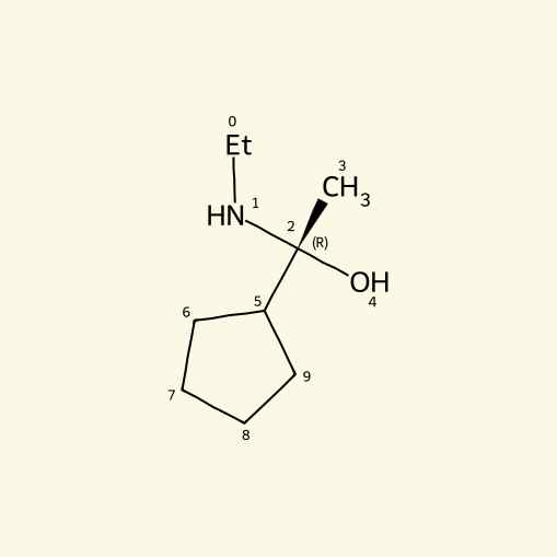 CCN[C@](C)(O)C1CCCC1